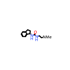 CNCCNC(=O)N[C@@H]1CCc2ccccc21